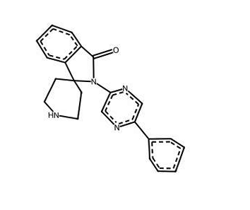 O=C1c2ccccc2C2(CCNCC2)N1c1cnc(-c2ccccc2)cn1